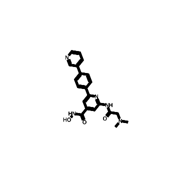 CN(C)CC(=O)Nc1cc(C(=O)NO)cc(-c2ccc(-c3cccnc3)cc2)n1